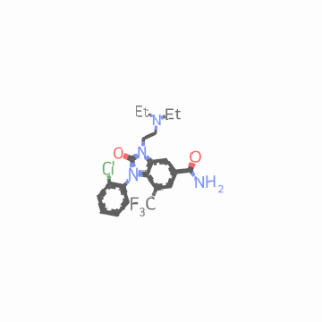 CCN(CC)CCn1c(=O)n(-c2ccccc2Cl)c2c(C(F)(F)F)cc(C(N)=O)cc21